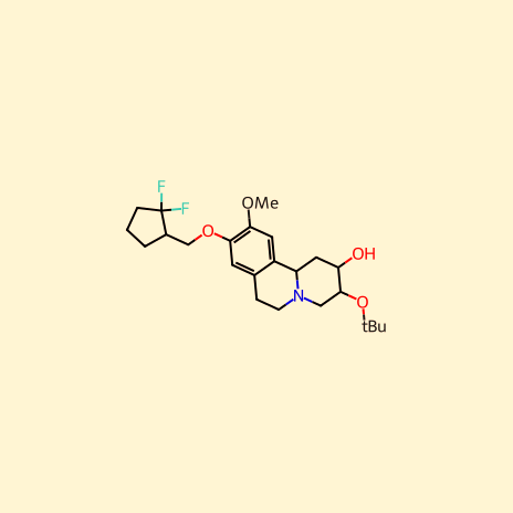 COc1cc2c(cc1OCC1CCCC1(F)F)CCN1CC(OC(C)(C)C)C(O)CC21